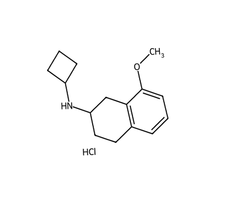 COc1cccc2c1CC(NC1CCC1)CC2.Cl